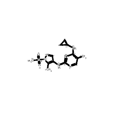 Cc1c(Nc2ncc(C(F)(F)F)c(NC3CC3)n2)cnn1S(C)(=O)=O